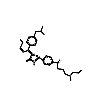 C=c1[nH]c(-c2ccc(C(=O)CCCN(C)CCC)cc2)n/c1=C(/C=C\CC)c1ccc(CC(C)C)cc1